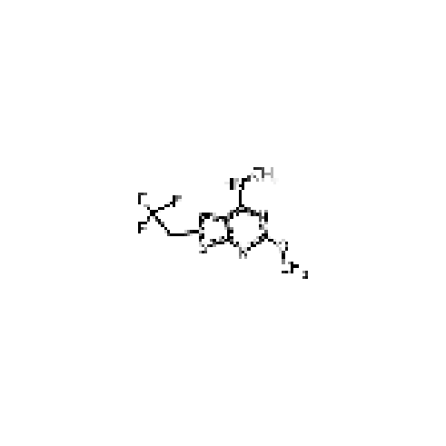 CNc1nc(OC)nc2sc(CC(F)(F)F)cc12